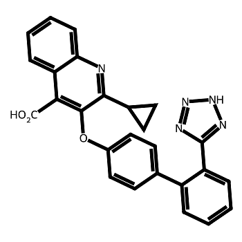 O=C(O)c1c(Oc2ccc(-c3ccccc3-c3nn[nH]n3)cc2)c(C2CC2)nc2ccccc12